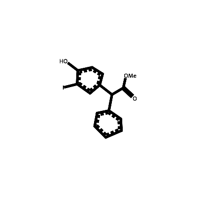 COC(=O)C(c1ccccc1)c1ccc(O)c(I)c1